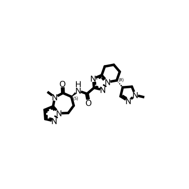 CN1CC([C@H]2CCCc3nc(C(=O)N[C@H]4CCn5nccc5N(C)C4=O)nn32)C=N1